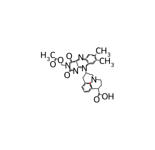 CC(=O)OCn1c(=O)nc2n(C(Cc3ccccc3)CN3CCC(C(=O)O)CC3)c3cc(C)c(C)cc3nc-2c1=O